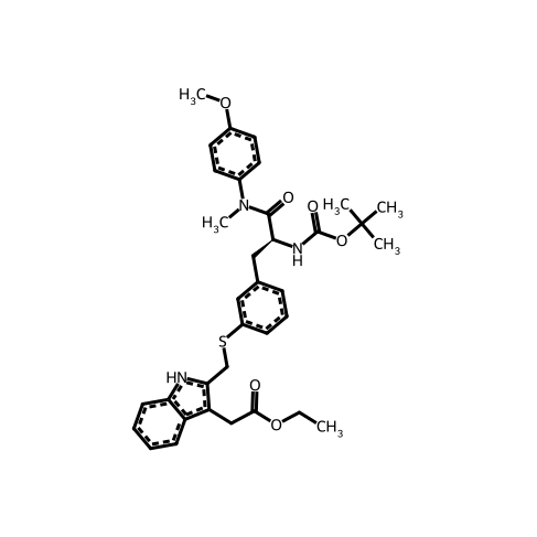 CCOC(=O)Cc1c(CSc2cccc(C[C@H](NC(=O)OC(C)(C)C)C(=O)N(C)c3ccc(OC)cc3)c2)[nH]c2ccccc12